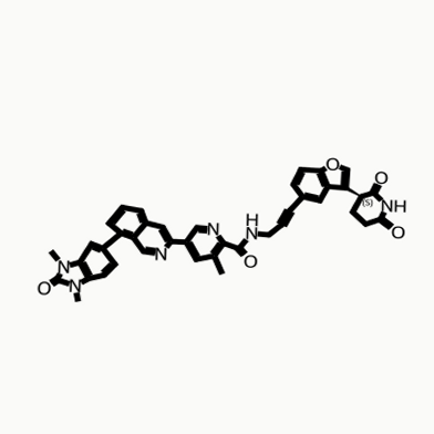 Cc1cc(-c2cc3cccc(-c4ccc5c(c4)n(C)c(=O)n5C)c3cn2)cnc1C(=O)NCC#Cc1ccc2occ([C@@H]3CCC(=O)NC3=O)c2c1